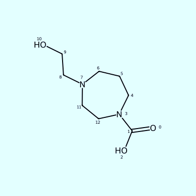 O=C(O)N1CCCN(CCO)CC1